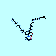 CCCCCCCC/C=C\CCCCCCCC(CCCCCCCCCCCCCC)N1CCCCOC1=O